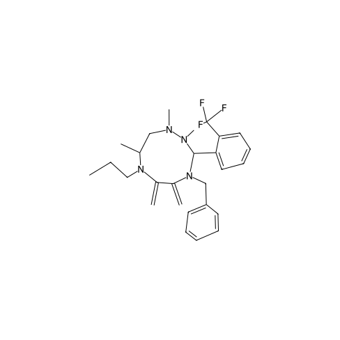 C=C1C(=C)N(Cc2ccccc2)C(c2ccccc2C(F)(F)F)N(C)N(C)CC(C)N1CCC